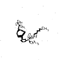 CCCCCCCNC(=O)N(C)c1cccc(-c2ccc(CC(O)C(=O)O)cc2)c1